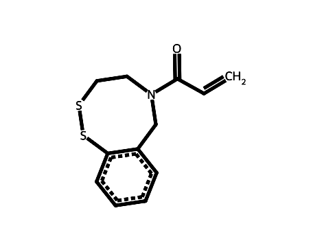 C=CC(=O)N1CCSSc2ccccc2C1